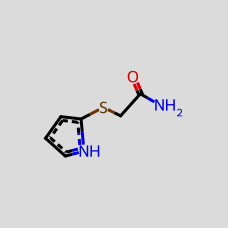 NC(=O)CSc1ccc[nH]1